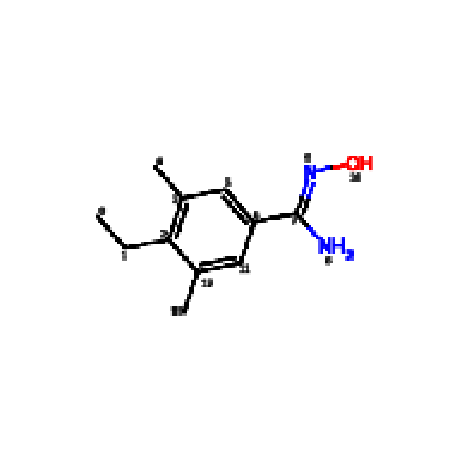 CCc1c(C)cc(/C(N)=N/O)cc1C